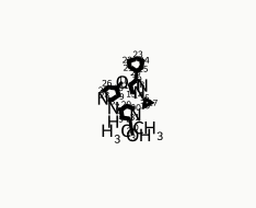 CC(C)(O)c1cc(Nc2cc(Oc3cn(C4CC4)nc3-c3ccccc3)ccn2)ccn1